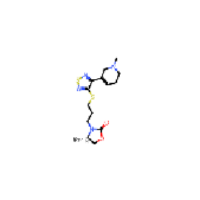 CC(C)[C@H]1COC(=O)N1CCCSc1nsnc1C1=CCCN(C)C1